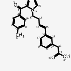 Cc1ccc(C(=O)c2cccn2CCC=Cc2cccc(CC(=O)O)c2)cc1